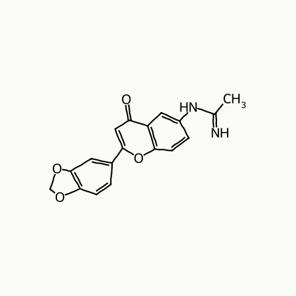 CC(=N)Nc1ccc2oc(-c3ccc4c(c3)OCO4)cc(=O)c2c1